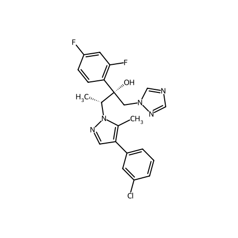 Cc1c(-c2cccc(Cl)c2)cnn1[C@H](C)[C@](O)(Cn1cncn1)c1ccc(F)cc1F